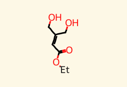 CCOC(=O)C=C(CO)CO